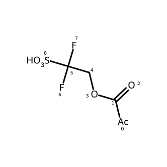 CC(=O)C(=O)OCC(F)(F)S(=O)(=O)O